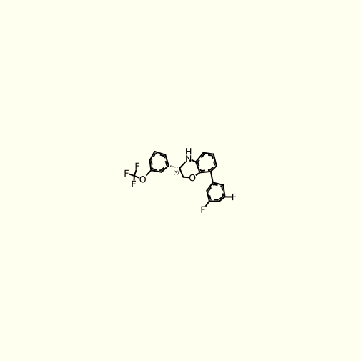 Fc1cc(F)cc(-c2cccc3c2OC[C@H](c2cccc(OC(F)(F)F)c2)N3)c1